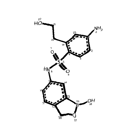 Nc1ccc(S(=O)(=O)Nc2ccc3c(c2)B(O)OC3)c(CCO)c1